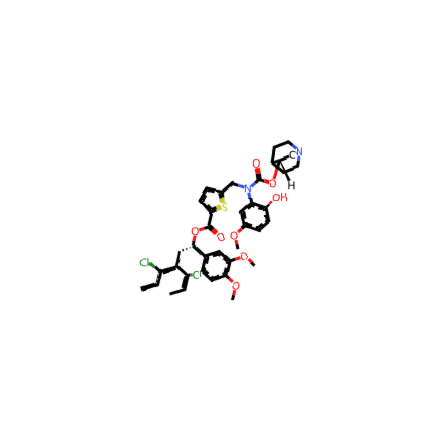 C=C/C(Cl)=C(C[C@H](OC(=O)c1ccc(CN(C(=O)O[C@H]2CN3CCC2CC3)c2cc(OC)ccc2O)s1)c1ccc(OC)c(OC)c1)\C(Cl)=C/C